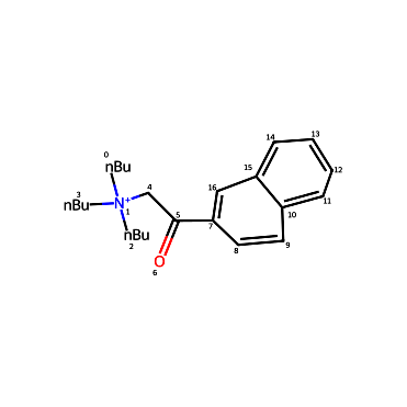 CCCC[N+](CCCC)(CCCC)CC(=O)c1ccc2ccccc2c1